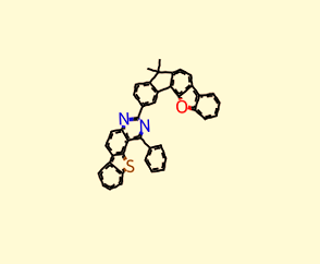 CC1(C)c2ccc(-c3nc(-c4ccccc4)c4c(ccc5c6ccccc6sc54)n3)cc2-c2c1ccc1c2oc2ccccc21